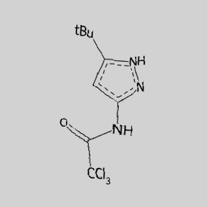 CC(C)(C)c1cc(NC(=O)C(Cl)(Cl)Cl)n[nH]1